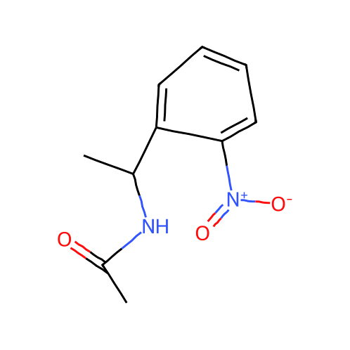 CC(=O)NC(C)c1ccccc1[N+](=O)[O-]